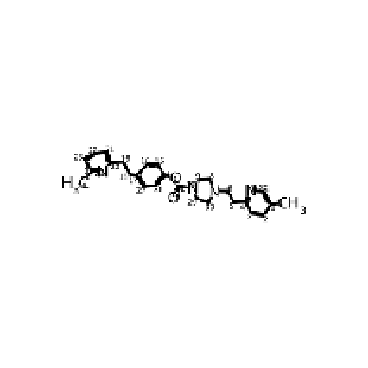 Cc1ccc(CCN2CCN(C(=O)Oc3ccc(CCc4cccc(C)n4)cc3)CC2)nc1